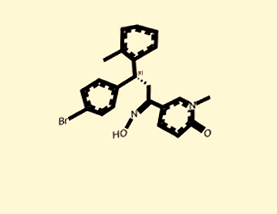 Cc1ccccc1[C@H](CC(=NO)c1ccc(=O)n(C)c1)c1ccc(Br)cc1